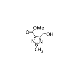 COC(=O)c1nn(C)nc1CO